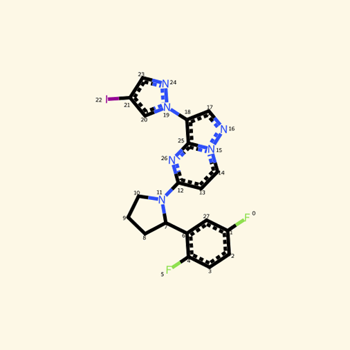 Fc1ccc(F)c(C2CCCN2c2ccn3ncc(-n4cc(I)cn4)c3n2)c1